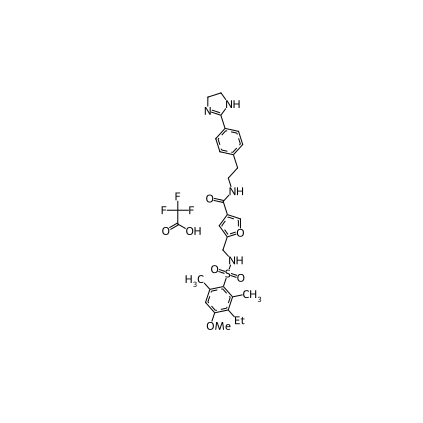 CCc1c(OC)cc(C)c(S(=O)(=O)NCc2cc(C(=O)NCCc3ccc(C4=NCCN4)cc3)co2)c1C.O=C(O)C(F)(F)F